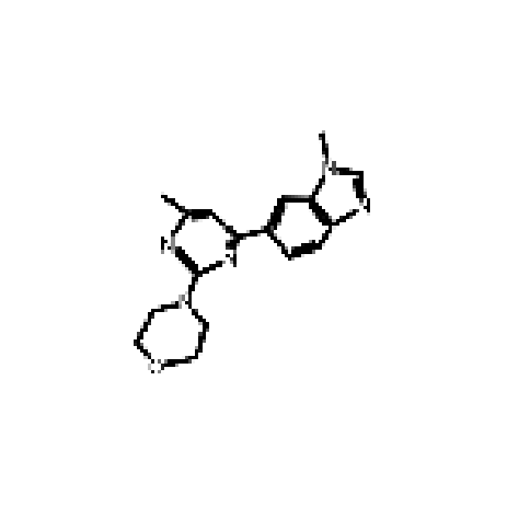 Cc1cc(-c2ccc3ncn(C)c3c2)nc(N2CCOCC2)n1